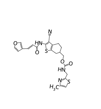 Cc1csc(CNC(=O)OCC2CCc3c(sc(NC(=O)C=Cc4ccoc4)c3C#N)C2)n1